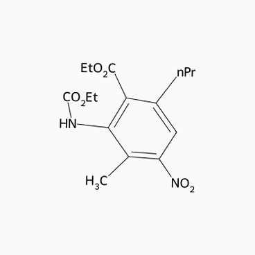 CCCc1cc([N+](=O)[O-])c(C)c(NC(=O)OCC)c1C(=O)OCC